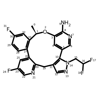 C[C@H]1Oc2cc(cnc2N)-c2c(cnn2CC(F)F)Cc2ncc(F)cc2-c2ccc(F)cc21